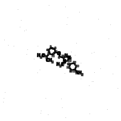 CC(C)c1cccc(OCc2nnc([C@H]3CC[C@H](N)CC3)n2C)c1